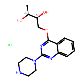 C[C@H](O)[C@@H](O)COc1nc(N2CCNCC2)nc2ccccc12.Cl